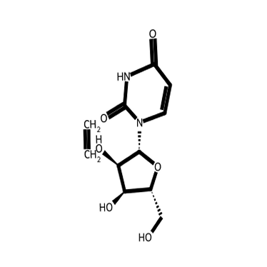 C=C.O=c1ccn([C@@H]2O[C@H](CO)[C@@H](O)[C@H]2O)c(=O)[nH]1